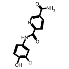 NC(=O)c1ccc(C(=O)Nc2ccc(O)c(Cl)c2)nc1